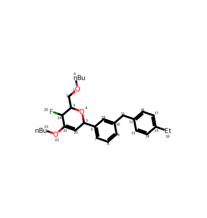 CCCCOCC1OC(c2cccc(Cc3ccc(CC)cc3)c2)C=C(OCCCC)C1F